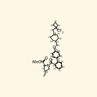 COC(=O)[C@@H]1C[C@H](F)CN1C(=O)c1ccccc1-c1ccc(OCC2CCN(CC3(C(F)(F)F)CCC3)CC2)cc1